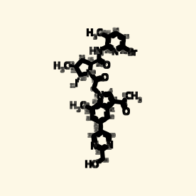 CC(=O)c1cn(CC(=O)N2[C@H](I)[C@@H](C)C[C@H]2C(=O)Nc2nc(Br)ccc2C)c2c(C)cc(-c3cnc(CO)nc3)cc12